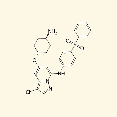 N[C@H]1CC[C@H](Oc2cc(Nc3ccc(S(=O)(=O)c4ccccc4)cc3)n3ncc(Cl)c3n2)CC1